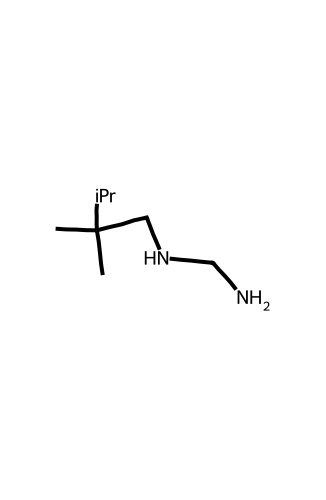 CC(C)C(C)(C)CNCN